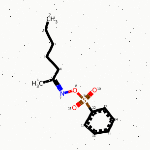 CCCCCC(C)=NOS(=O)(=O)c1ccccc1